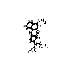 CCN(CC)C1C=CC2=Nc3c(cc(N)c4ccccc34)OC2=C1